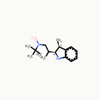 BN(CC(C)[C@@H]1Nc2ccccc2[C@@H]1C)C(C)(C)C